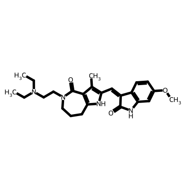 CCN(CC)CCN1CCCc2[nH]c(C=C3C(=O)Nc4cc(OC)ccc43)c(C)c2C1=O